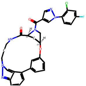 O=C1NCCCn2cc3c(cccc3n2)-c2cccc(c2)O[C@H]2C[C@@H]1N(C(=O)c1cnn(-c3ccc(F)cc3Cl)c1)C2